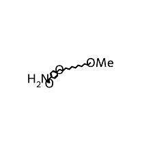 COCCCCCCCCCOc1ccc(C(N)=O)cc1